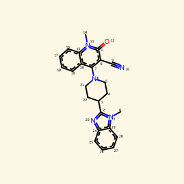 Cn1c(C2CCN(c3c(C#N)c(=O)n(C)c4ccccc34)CC2)nc2ccccc21